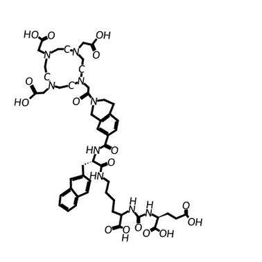 O=C(O)CC[C@H](NC(=O)NC(CCCCNC(=O)[C@H](Cc1ccc2ccccc2c1)NC(=O)c1ccc2c(c1)CN(C(=O)CN1CCN(CC(=O)O)CCN(CC(=O)O)CCN(CC(=O)O)CC1)CC2)C(=O)O)C(=O)O